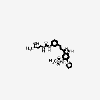 CN(C)CCNC(=O)Nc1cccc(/C=C/c2n[nH]c3cc(N4CCCC4)c(NS(C)(=O)=O)cc23)c1